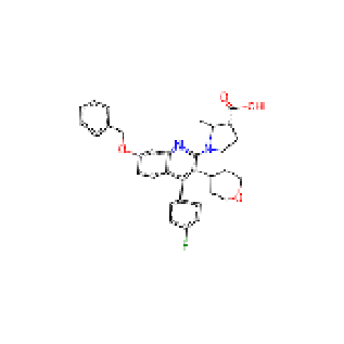 CC1[C@H](C(=O)O)CCN1c1nc2cc(OCc3ccccc3)ccc2c(-c2ccc(F)cc2)c1C1CCOCC1